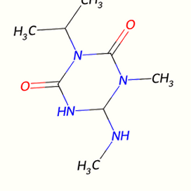 CNC1NC(=O)N(C(C)C)C(=O)N1C